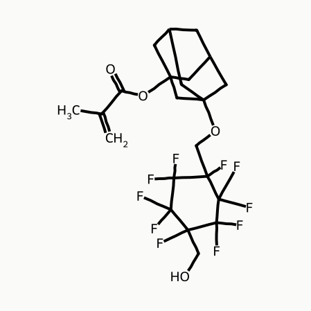 C=C(C)C(=O)OC12CC3CC(CC(OCC4(F)C(F)(F)C(F)(F)C(F)(CO)C(F)(F)C4(F)F)(C3)C1)C2